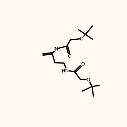 C=C(CCNC(=O)COC(C)(C)C)NC(=O)COC(C)(C)C